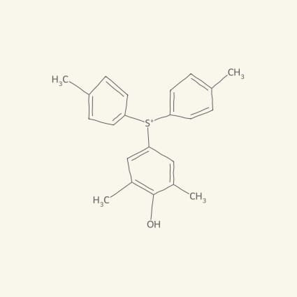 Cc1ccc([S+](c2ccc(C)cc2)c2cc(C)c(O)c(C)c2)cc1